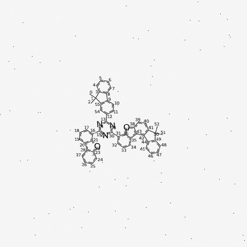 CC1(C)c2ccccc2-c2ccc(-c3nc(-c4cccc5c4oc4ccccc45)nc(-c4cccc5c4oc4ccc6c(c45)-c4ccccc4C6(C)C)n3)cc21